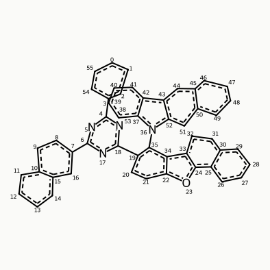 c1ccc(-c2nc(-c3ccc4ccccc4c3)nc(-c3ccc4oc5c6ccccc6ccc5c4c3-n3c4ccccc4c4cc5ccccc5cc43)n2)cc1